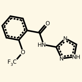 O=C(Nc1nc[nH]n1)c1ccccc1OC(F)(F)F